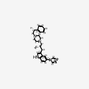 C[C@@H](CN1CCN(C[C@@H](F)Cc2c[nH]c3ccc(-n4cnnc4)cc23)CC1)c1ccccc1